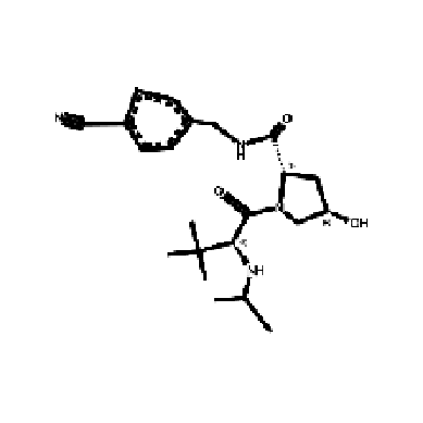 CC(C)N[C@H](C(=O)N1C[C@H](O)C[C@H]1C(=O)NCc1ccc(C#N)cc1)C(C)(C)C